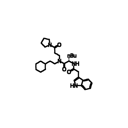 CCCC[C@H](NC(=O)Cc1c[nH]c2ccccc12)C(=O)N(CCC(=O)N1CCCC1)CCC1CCCCC1